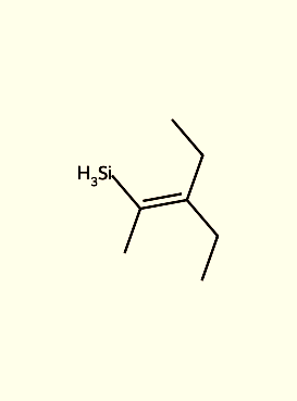 CCC(CC)=C(C)[SiH3]